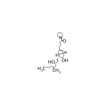 CCCC[C@H](C)C[C@H](O)/C=C/[C@@H]1[C@H]2CC(CCCC(=O)N3CCCCC3)=C[C@H]2C[C@H]1O